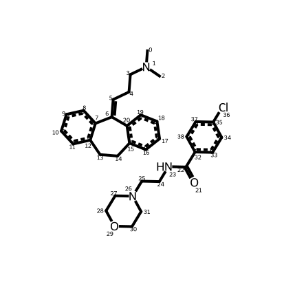 CN(C)CCC=C1c2ccccc2CCc2ccccc21.O=C(NCCN1CCOCC1)c1ccc(Cl)cc1